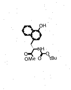 COC(=O)[C@H](Cc1ccc(O)c2ccccc12)NC(=O)OC(C)(C)C